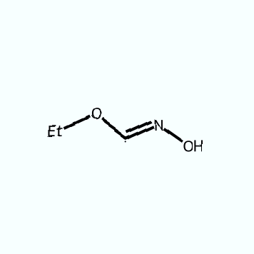 CCO[C]=NO